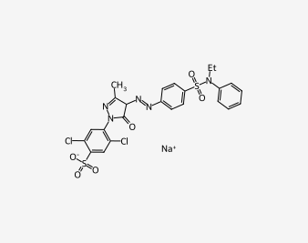 CCN(c1ccccc1)S(=O)(=O)c1ccc(N=NC2C(=O)N(c3cc(Cl)c(S(=O)(=O)[O-])cc3Cl)N=C2C)cc1.[Na+]